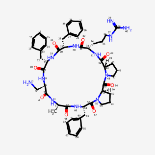 C[C@@H]1NC(=O)[C@@H](CN)NC(=O)[C@H](Cc2ccccc2)NC(=O)[C@H](Cc2ccccc2)NC(=O)[C@H](CCCNC(=N)N)NC(=O)[C@@H]2CCCN2C(=O)[C@H]2CCCN2C(=O)[C@H](Cc2ccccc2)NC1=O